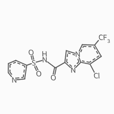 O=C(NS(=O)(=O)c1cccnc1)c1cn2cc(C(F)(F)F)cc(Cl)c2n1